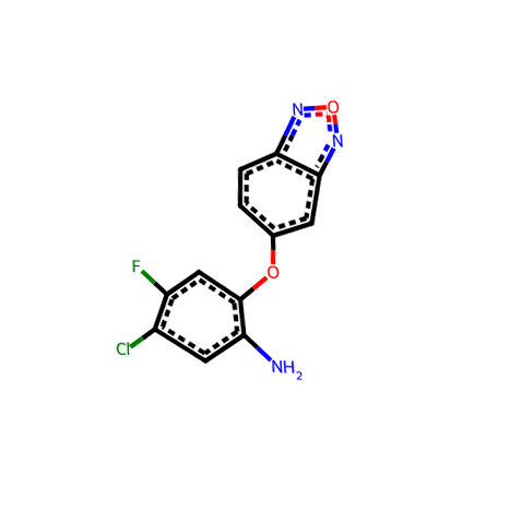 Nc1cc(Cl)c(F)cc1Oc1ccc2nonc2c1